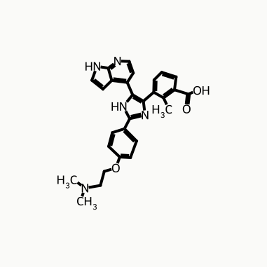 Cc1c(C(=O)O)cccc1-c1nc(-c2ccc(OCCN(C)C)cc2)[nH]c1-c1ccnc2[nH]ccc12